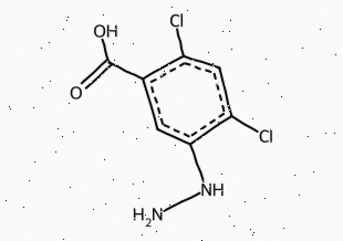 NNc1cc(C(=O)O)c(Cl)cc1Cl